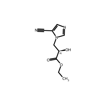 CCOC(=O)[C@H](O)Cn1cncc1C#N